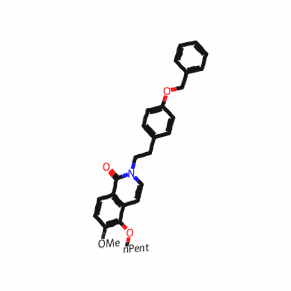 CCCCCOc1c(OC)ccc2c(=O)n(CCc3ccc(OCc4ccccc4)cc3)ccc12